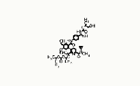 C=Cc1cc(C(=O)Nc2ccc(C(=N)NC(=O)OC(C)CO)cc2)c(-c2ccc(C(=O)N(C)C3CC3)nc2C(=O)OC(C)OC(=O)OC(C)C)cc1OC